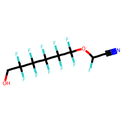 N#CC(F)OC(F)(F)C(F)(F)C(F)(F)C(F)(F)C(F)(F)CO